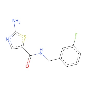 Nc1ncc(C(=O)NCc2cccc(F)c2)s1